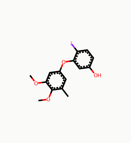 COc1cc(Oc2cc(O)ccc2I)cc(C)c1OC